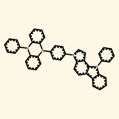 c1ccc(N2c3ccccc3N(c3ccc(-n4ccc5c4ccc4c6ccccc6n(-c6ccccc6)c45)cc3)c3ccccc32)cc1